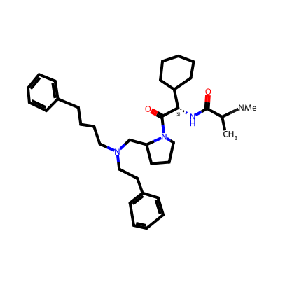 CNC(C)C(=O)N[C@H](C(=O)N1CCCC1CN(CCCCc1ccccc1)CCc1ccccc1)C1CCCCC1